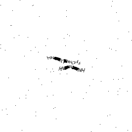 C.N=[N+]=N.N=[N+]=N